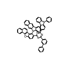 c1ccc(-c2cccc(-c3nc(-c4ccc5c(c4)c4ccccc4n5-c4ccccc4)nc(-c4ccc5oc6c7ccccc7ccc6c5c4-n4c5ccccc5c5cc6ccccc6cc54)n3)c2)cc1